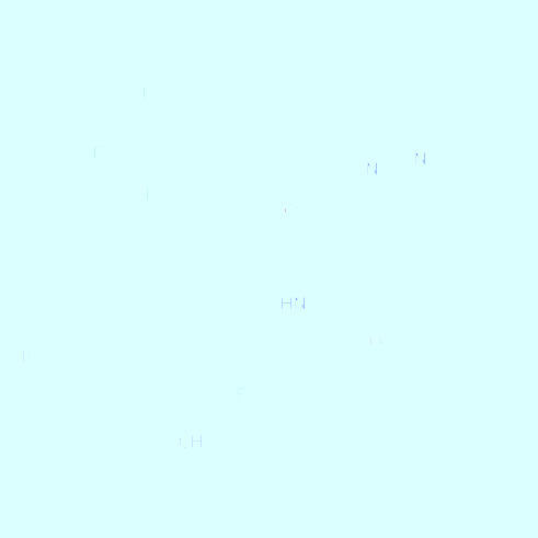 Cc1cc(Br)ccc1C(F)(F)CNC(=O)c1c(Oc2cccc(C(F)(F)F)c2)nnc2c1CCCC2